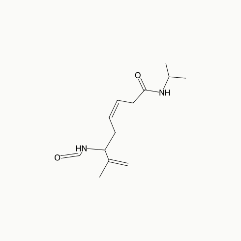 C=C(C)C(C/C=C\CC(=O)NC(C)C)NC=O